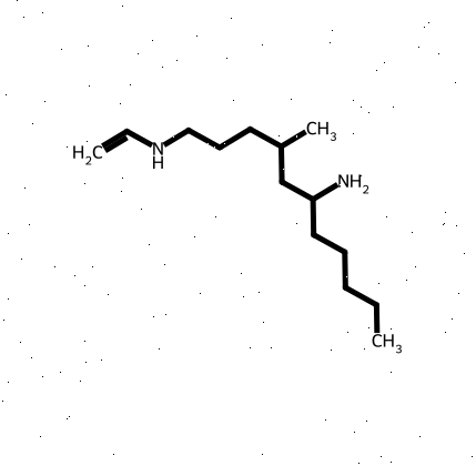 C=CNCCCC(C)CC(N)CCCCC